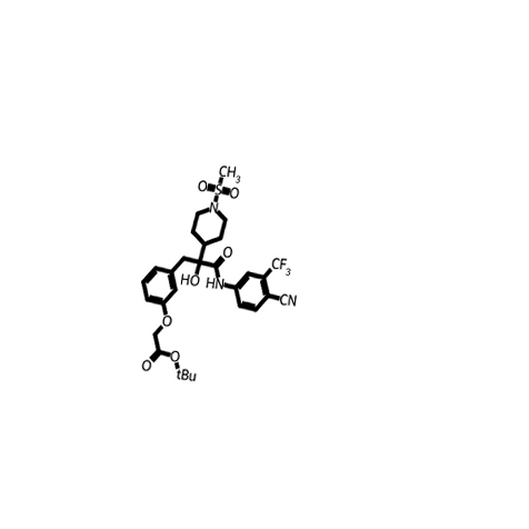 CC(C)(C)OC(=O)COc1cccc(CC(O)(C(=O)Nc2ccc(C#N)c(C(F)(F)F)c2)C2CCN(S(C)(=O)=O)CC2)c1